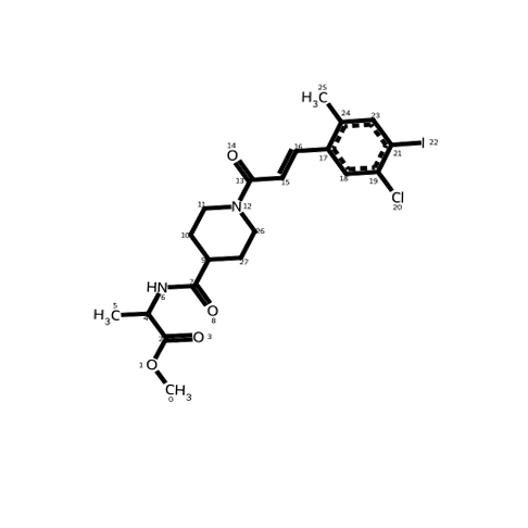 COC(=O)C(C)NC(=O)C1CCN(C(=O)/C=C/c2cc(Cl)c(I)cc2C)CC1